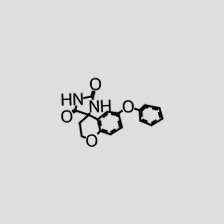 O=C1NC(=O)C2(CCOc3ccc(Oc4ccccc4)cc32)N1